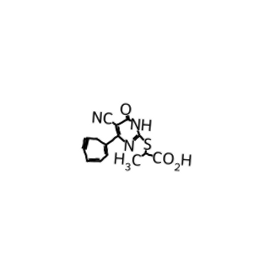 CC(Sc1nc(C2=CC=CC#CC2)c(C#N)c(=O)[nH]1)C(=O)O